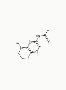 CC(=O)Nc1ccc2c(c1)N(C)CCC2